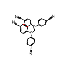 N#Cc1ccc(P(CP(c2ccc(C#N)cc2)c2ccc(C#N)cc2)c2ccc(C#N)cc2)cc1